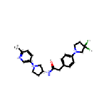 O=C(Cc1ccc(N2CCC(F)(F)C2)cc1)N[C@@H]1CCN(c2ccc(C(F)(F)F)nc2)C1